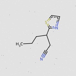 CCCC(CC#N)c1nccs1